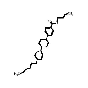 CCCCCC[C@H]1CC[C@H]([C@H]2CC[C@H](c3ccc(C(=O)OCCCC)cc3)CC2)CC1